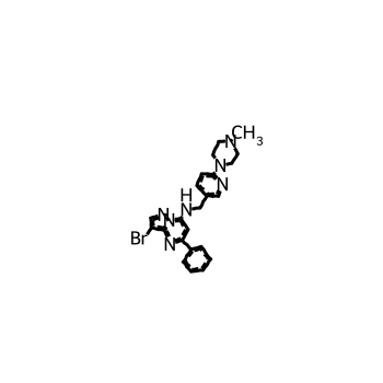 CN1CCN(c2ccc(CNc3cc(-c4ccccc4)nc4c(Br)cnn34)cn2)CC1